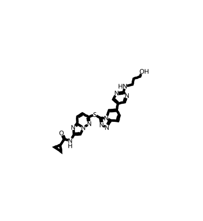 O=C(Nc1cn2nc(Sc3nnc4ccc(-c5cnc(NCCCO)nc5)cn34)ccc2n1)C1CC1